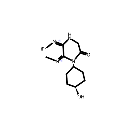 C/N=C1\C(=N/C(C)C)NCC(=O)N1[C@H]1CC[C@H](O)CC1